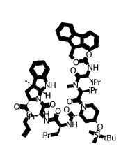 C=CCOC(=O)[C@@H]1C[C@@]2(C)c3ccccc3N[C@H]2N1C(=O)[C@H](NC(=O)[C@H](CC(C)C)NC(=O)[C@H]1C[C@@H](O[Si](C)(C)C(C)(C)C)CCN1C(=O)[C@H](C(C)C)N(C)C(=O)[C@H](NC(=O)OCC1c2ccccc2-c2ccccc21)C(C)C)C(C)C